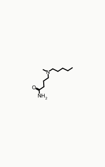 CCCCCN(C)CCCC(N)=O